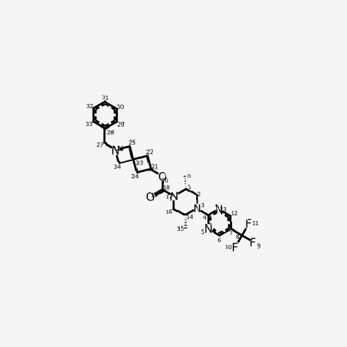 C[C@@H]1CN(c2ncc(C(F)(F)F)cn2)[C@H](C)CN1C(=O)OC1CC2(C1)CN(Cc1ccccc1)C2